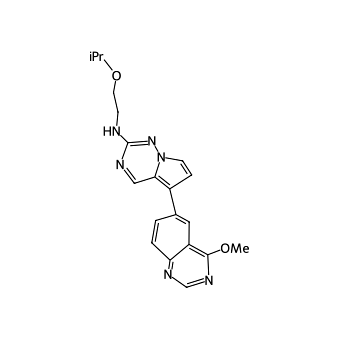 COc1ncnc2ccc(-c3ccn4nc(NCCOC(C)C)ncc34)cc12